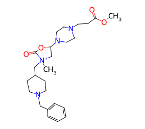 COC(=O)CCN1CCN(C2C[N+](C)(CC3CCN(Cc4ccccc4)CC3)C(=O)O2)CC1